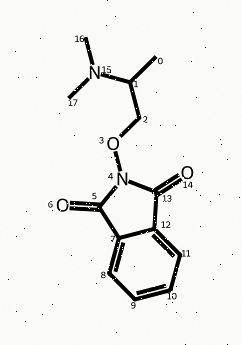 CC(CON1C(=O)c2ccccc2C1=O)N(C)C